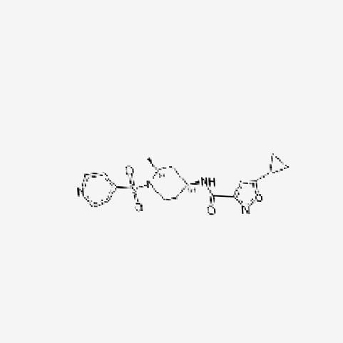 C[C@H]1C[C@@H](NC(=O)c2cc(C3CC3)on2)CCN1S(=O)(=O)c1ccncc1